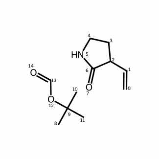 C=CC1CCNC1=O.CC(C)(C)OC=O